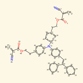 C=C(C#N)C(=O)OCCc1ccc(N(c2ccc(C=C(c3ccccc3)c3ccccc3)cc2)c2ccc(CCOC(=O)C(=C)C#N)cc2)cc1